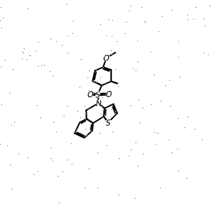 COC1=CC(C)C(S(=O)(=O)N2Cc3ccccc3-c3sccc32)C=C1